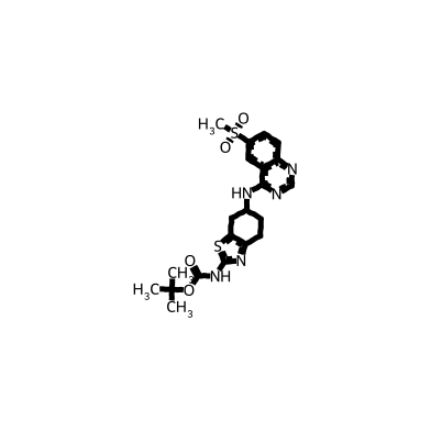 CC(C)(C)OC(=O)Nc1nc2c(s1)CC(Nc1ncnc3ccc(S(C)(=O)=O)cc13)CC2